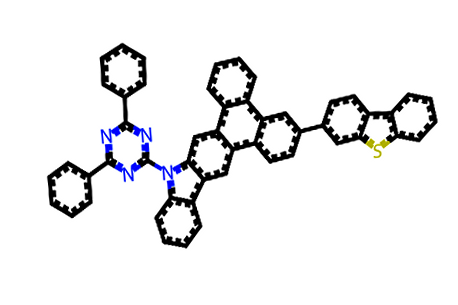 c1ccc(-c2nc(-c3ccccc3)nc(-n3c4ccccc4c4cc5c6ccc(-c7ccc8c(c7)sc7ccccc78)cc6c6ccccc6c5cc43)n2)cc1